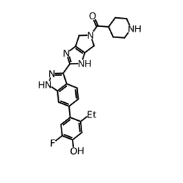 CCc1cc(O)c(F)cc1-c1ccc2c(-c3nc4c([nH]3)CN(C(=O)C3CCNCC3)C4)n[nH]c2c1